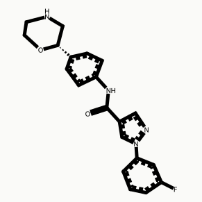 O=C(Nc1ccc([C@H]2CNCCO2)cc1)c1cnn(-c2cccc(F)c2)c1